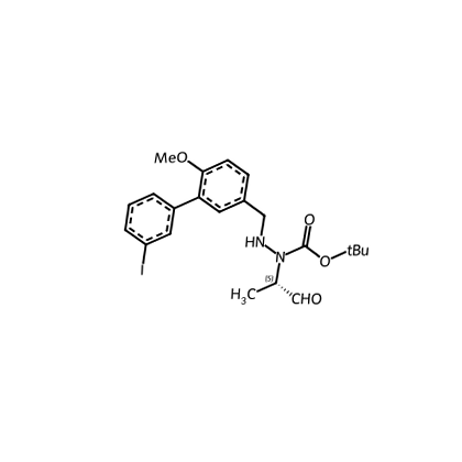 COc1ccc(CNN(C(=O)OC(C)(C)C)[C@@H](C)C=O)cc1-c1cccc(I)c1